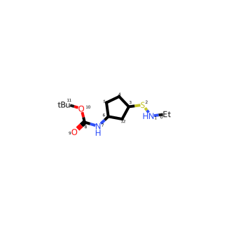 CCNSC1CCC(NC(=O)OC(C)(C)C)C1